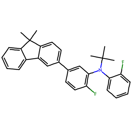 CC1(C)c2ccccc2-c2cc(-c3ccc(F)c(N(c4ccccc4F)C(C)(C)C)c3)ccc21